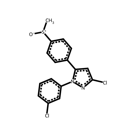 C[S+]([O-])c1ccc(-c2cc(Cl)nn2-c2cccc(Cl)c2)cc1